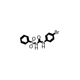 O=C(Nc1ccc(Br)cc1)NS(=O)(=O)c1ccccc1